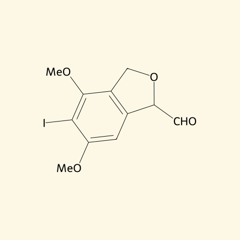 COc1cc2c(c(OC)c1I)COC2C=O